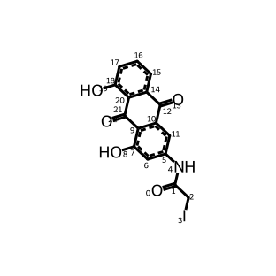 O=C(CI)Nc1cc(O)c2c(c1)C(=O)c1cccc(O)c1C2=O